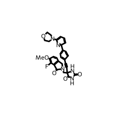 COc1ccc2c(c1F)C(=O)N(CC1(C#Cc3ccc(-c4cccc(N5CCOCC5)n4)cc3)NC(=O)NC1=O)C2